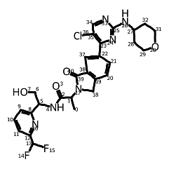 CC(C(=O)NC(CO)c1cccc(C(F)F)n1)N1Cc2ccc(-c3nc(NC4CCOCC4)ncc3Cl)cc2C1=O